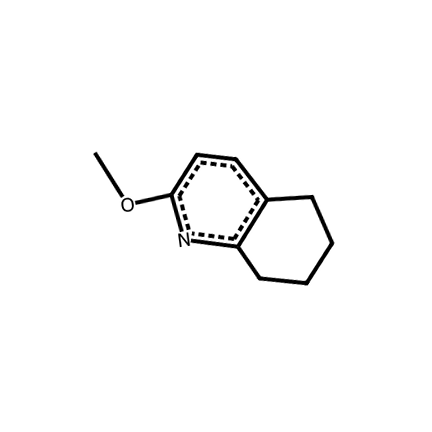 COc1ccc2c(n1)CCCC2